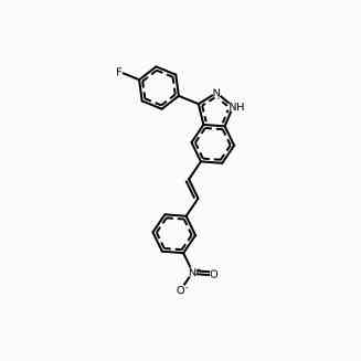 O=[N+]([O-])c1cccc(/C=C/c2ccc3[nH]nc(-c4ccc(F)cc4)c3c2)c1